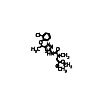 COC(CN(C)C(=O)Nc1nnc(C(C)Oc2ccccc2Cl)s1)OC